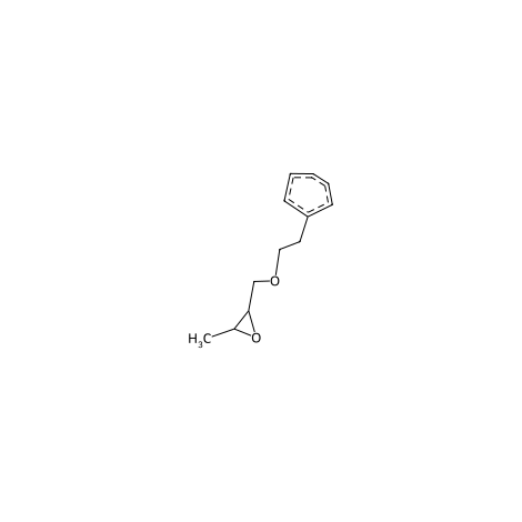 CC1OC1COCCc1ccccc1